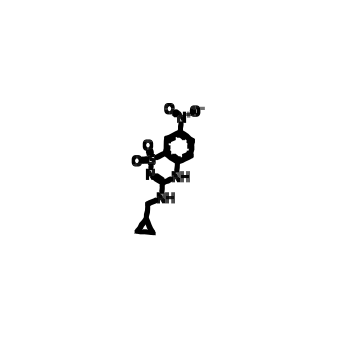 O=[N+]([O-])c1ccc2c(c1)S(=O)(=O)N=C(NCC1CC1)N2